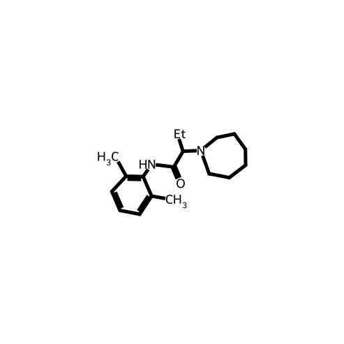 CCC(C(=O)Nc1c(C)cccc1C)N1CCCCCC1